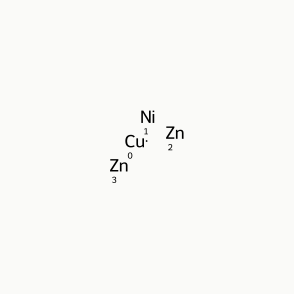 [Cu].[Ni].[Zn].[Zn]